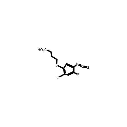 O=C(O)CCCSc1cc(N=C=S)c(F)cc1Cl